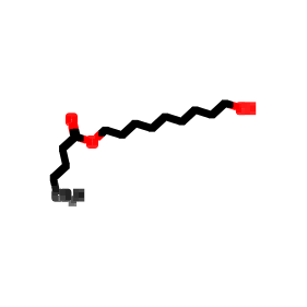 O=C(O)CCCC(=O)OCCCCCCCCCO